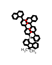 CC1(C)c2ccccc2-c2c(N(c3ccc(-c4ccc(-c5cccc6ccccc56)cc4)cc3)c3ccccc3-c3ccc(-c4cccc5ccccc45)cc3)cccc21